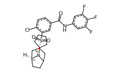 O=C(Nc1cc(F)c(F)c(F)c1)c1ccc(Cl)c(S(=O)(=O)[C@@H]2CC3CC[C@@H](C2)N3C2CCCC2)c1